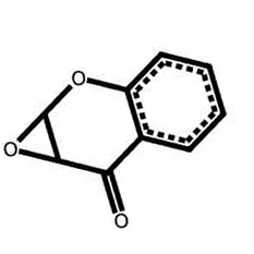 O=C1c2ccccc2OC2OC12